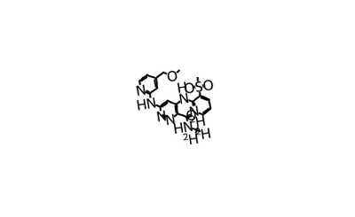 [2H]C([2H])([2H])NC(=O)c1nnc(Nc2cc(COC)ccn2)cc1Nc1ncccc1S(C)(=O)=O